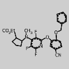 CCOC(=O)C1CCCC1N(C)c1c(F)c(F)nc(Oc2cc(C#N)ccc2OCc2ccccc2)c1F